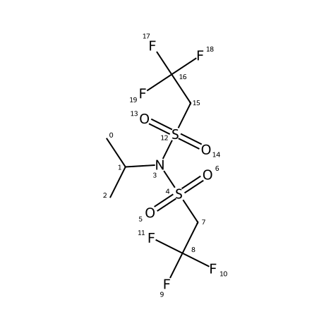 CC(C)N(S(=O)(=O)CC(F)(F)F)S(=O)(=O)CC(F)(F)F